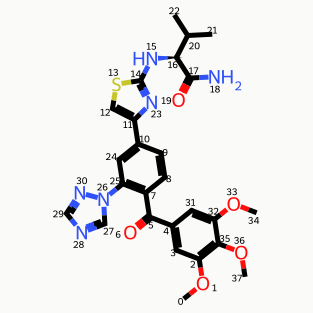 COc1cc(C(=O)c2ccc(-c3csc(N[C@H](C(N)=O)C(C)C)n3)cc2-n2cncn2)cc(OC)c1OC